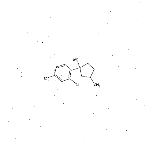 CC1CCC(C#N)(c2ccc(Cl)cc2Cl)C1